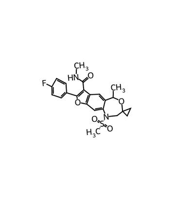 CNC(=O)c1c(-c2ccc(F)cc2)oc2cc3c(cc12)C(C)OC1(CC1)CN3S(C)(=O)=O